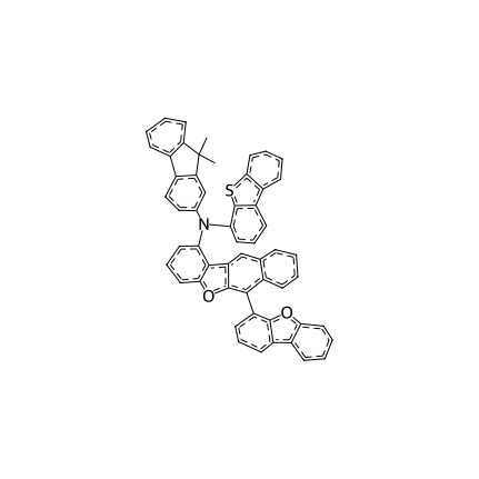 CC1(C)c2ccccc2-c2ccc(N(c3cccc4c3sc3ccccc34)c3cccc4oc5c(-c6cccc7c6oc6ccccc67)c6ccccc6cc5c34)cc21